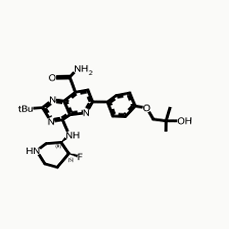 CC(C)(O)COc1ccc(-c2cc(C(N)=O)c3nc(C(C)(C)C)nc(N[C@@H]4CNCC[C@@H]4F)c3n2)cc1